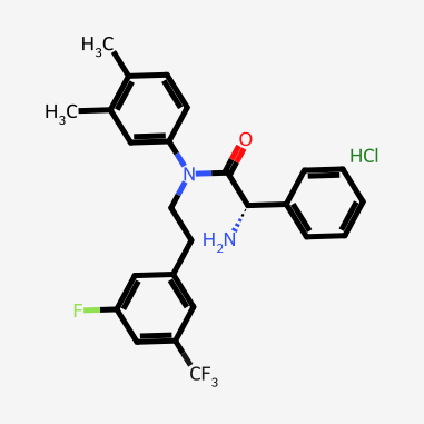 Cc1ccc(N(CCc2cc(F)cc(C(F)(F)F)c2)C(=O)[C@@H](N)c2ccccc2)cc1C.Cl